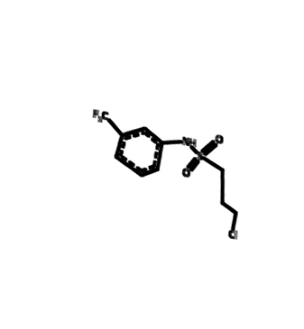 O=S(=O)(CCCCl)Nc1cccc(C(F)(F)F)c1